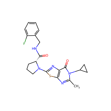 Cc1nc2sc(N3CCC[C@@H]3C(=O)NCc3ccccc3F)nc2c(=O)n1C1CC1